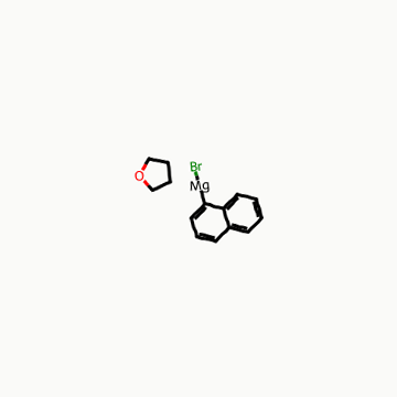 C1CCOC1.[Br][Mg][c]1cccc2ccccc12